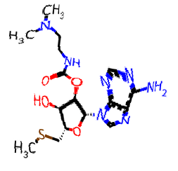 CSC[C@H]1O[C@@H](n2cnc3c(N)ncnc32)[C@H](OC(=O)NCCN(C)C)[C@@H]1O